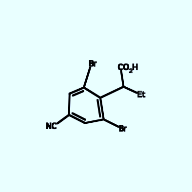 CCC(C(=O)O)c1c(Br)cc(C#N)cc1Br